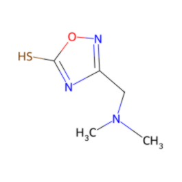 CN(C)Cc1noc(S)n1